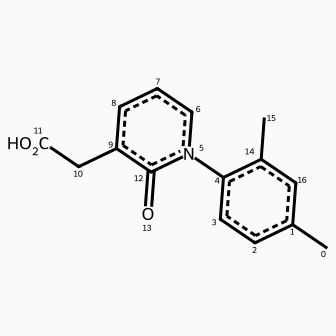 Cc1ccc(-n2cccc(CC(=O)O)c2=O)c(C)c1